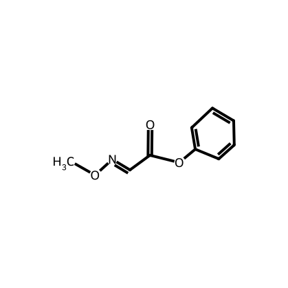 CON=CC(=O)Oc1ccccc1